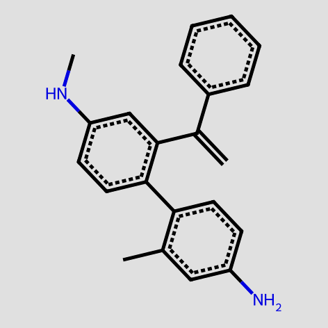 C=C(c1ccccc1)c1cc(NC)ccc1-c1ccc(N)cc1C